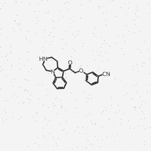 N#Cc1cccc(OCC(=O)c2c3n(c4ccccc24)CCNCC3)c1